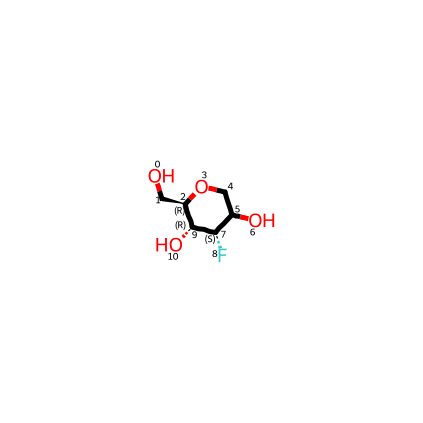 OC[C@H]1OCC(O)[C@H](F)[C@@H]1O